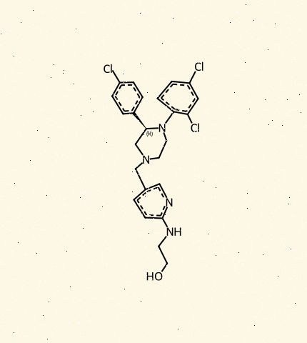 OCCNc1ccc(CN2CCN(c3ccc(Cl)cc3Cl)[C@H](c3ccc(Cl)cc3)C2)cn1